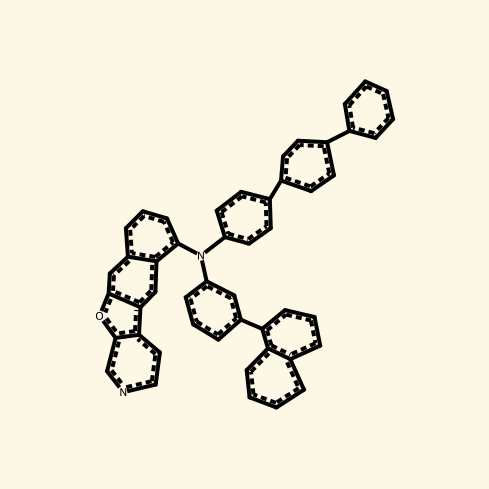 c1ccc(-c2ccc(-c3ccc(N(c4cccc(-c5cccc6ccccc56)c4)c4cccc5cc6oc7cnccc7c6cc45)cc3)cc2)cc1